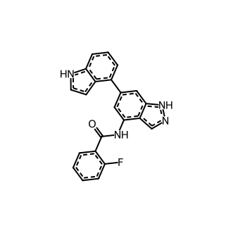 O=C(Nc1cc(-c2cccc3[nH]ccc23)cc2[nH]ncc12)c1ccccc1F